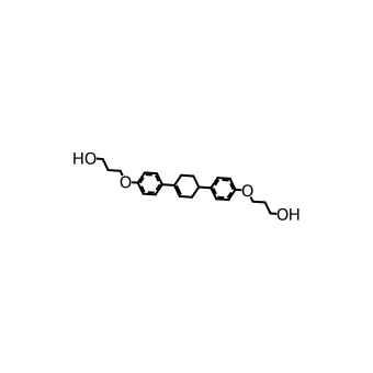 OCCCOc1ccc(C2=CCC(c3ccc(OCCCO)cc3)CC2)cc1